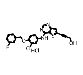 Cl.OCC#Cc1cc2ncnc(Nc3ccc(OCc4cccc(F)c4)c(Cl)c3)c2s1